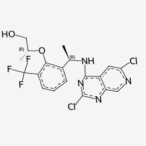 C[C@H](CO)Oc1c([C@@H](C)Nc2nc(Cl)nc3cnc(Cl)cc23)cccc1C(F)(F)F